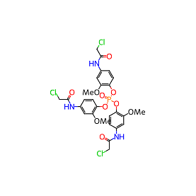 COc1cc(NC(=O)CCl)ccc1OP(=O)(Oc1ccc(NC(=O)CCl)cc1OC)Oc1ccc(NC(=O)CCl)cc1OC